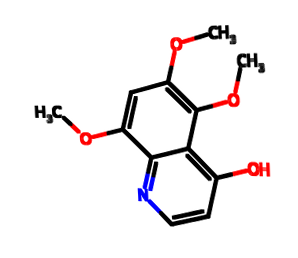 COc1cc(OC)c2nccc(O)c2c1OC